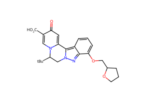 CC(C)(C)C1Cn2nc3c(OCC4CCCO4)cccc3c2-c2cc(=O)c(C(=O)O)cn21